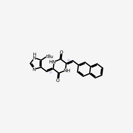 CC(C)(C)c1[nH]cnc1/C=c1\[nH]c(=O)/c(=C/c2ccc3ccccc3c2)[nH]c1=O